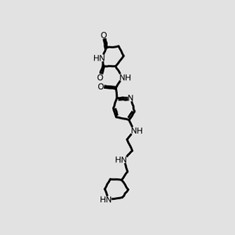 O=C1CCC(NC(=O)c2ccc(NCCNCC3CCNCC3)cn2)C(=O)N1